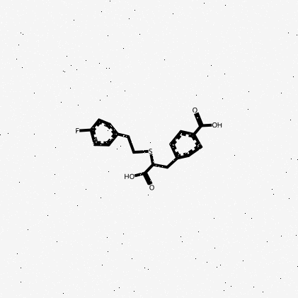 O=C(O)c1ccc(CC(SCCc2ccc(F)cc2)C(=O)O)cc1